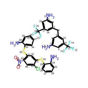 Nc1cc(Cc2cc(N)cc(C(F)(F)F)c2)cc(C(F)(F)F)c1.Nc1ccccc1Sc1cc(Sc2ccccc2N)c([N+](=O)[O-])cc1Cl